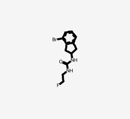 O=C(NCCF)NC1Cc2cccc(Br)c2C1